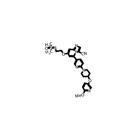 COc1ccc(OC2CCN(c3ccc(-c4cc(OCCN=S(C)(C)=O)cc5ncc(C#N)n45)cn3)CC2)cn1